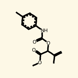 C=C(C)C(OC(=O)Nc1ccc(C)cc1)C(=O)OC